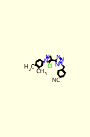 Cc1ccc(-n2ncc(-c3nnn(Cc4ccc(C#N)cc4)n3)c2Cl)cc1C